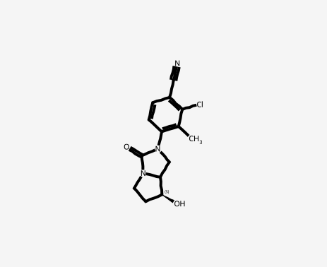 Cc1c(N2CC3[C@@H](O)CCN3C2=O)ccc(C#N)c1Cl